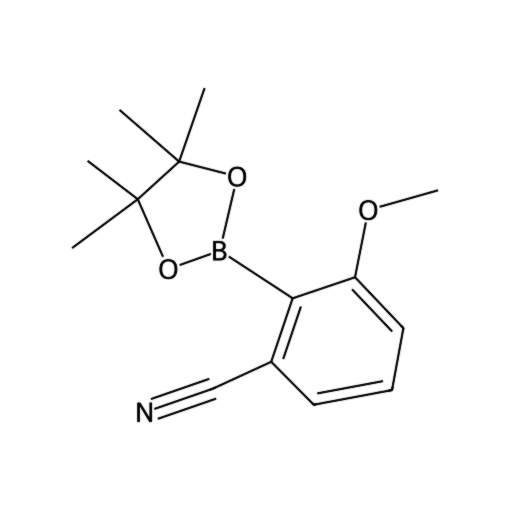 COc1cccc(C#N)c1B1OC(C)(C)C(C)(C)O1